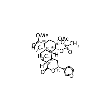 COC(=O)[C@@H]1C[C@H](OC(C)=O)[C@H](OS(C)(=O)=O)[C@H]2[C@@]1(C)CC[C@H]1C(=O)O[C@H](c3ccoc3)C[C@]21C